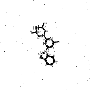 Cc1cc(-n2ncc3ccccc32)nc(N2CC(C)NC(C)C2)n1